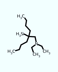 CCCCC([SiH3])(CCCC)CN(CC)CC